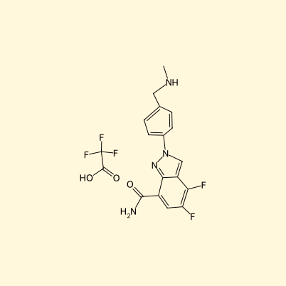 CNCc1ccc(-n2cc3c(F)c(F)cc(C(N)=O)c3n2)cc1.O=C(O)C(F)(F)F